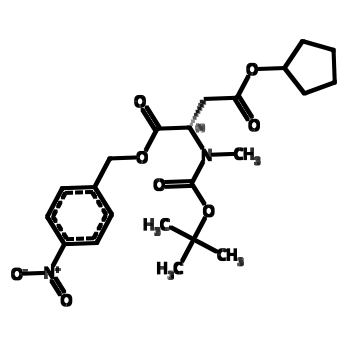 CN(C(=O)OC(C)(C)C)[C@@H](CC(=O)OC1CCCC1)C(=O)OCc1ccc([N+](=O)[O-])cc1